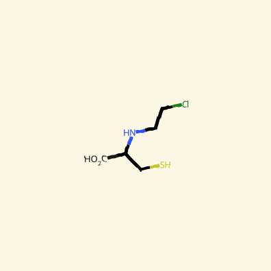 O=C(O)C(CS)NCCCl